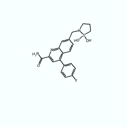 NC(=O)c1cc(-c2ccc(F)cc2)c2ccc(CN3CCCS3(O)O)cc2n1